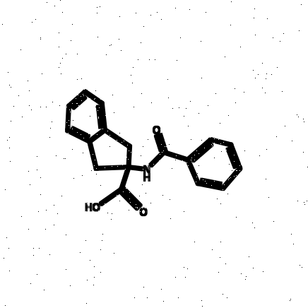 O=C(NC1(C(=O)O)Cc2ccccc2C1)c1ccccc1